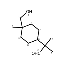 CC1(CO)CCC(C(C)(C)C=O)CC1